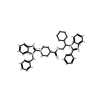 O=C(OCC(C1CCCCC1)n1c(-c2ccccc2)nc2ccccc21)C1CCN(c2nc3ccccc3n2Cc2ccccc2)CC1